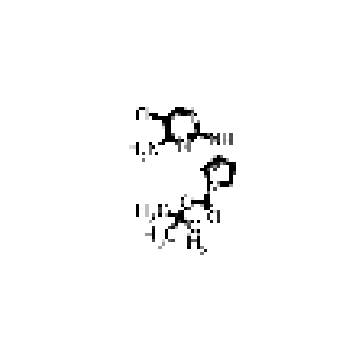 CC(C)(C)OC(=O)N1CC[C@@H](Nc2ncc(Cl)c(N)n2)C1